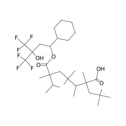 CC(C)C(C)(CC(C)(C)C(C)C(C)(CC(C)(C)C)C(=O)O)C(=O)OC(CC(O)(C(F)(F)F)C(F)(F)F)C1CCCCC1